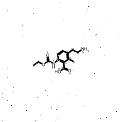 CCOC(=O)Nc1ccc(CCN)c(C)c1C(=O)O